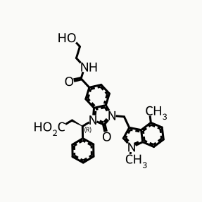 Cc1cccc2c1c(Cn1c(=O)n([C@H](CC(=O)O)c3ccccc3)c3cc(C(=O)NCCO)ccc31)cn2C